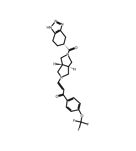 O=C(/C=C/N1C[C@@H]2CN(C(=O)[C@@H]3CCc4[nH]nnc4C3)C[C@H]2C1)c1ccc(OC(F)(F)F)cc1